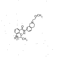 COCCN1CCc2ccc(NC(=O)c3cccc(Br)c3OC(C)C)cc2C1